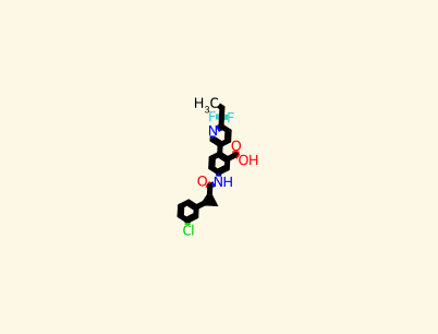 CCC(F)(F)c1ccc(-c2ccc(NC(=O)C3CC3c3cccc(Cl)c3)cc2C(=O)O)cn1